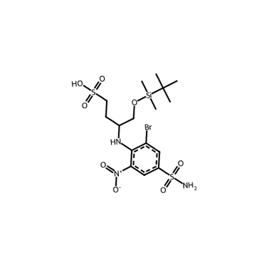 CC(C)(C)[Si](C)(C)OCC(CCS(=O)(=O)O)Nc1c(Br)cc(S(N)(=O)=O)cc1[N+](=O)[O-]